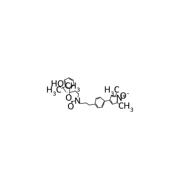 Cc1cc(-c2ccc(CCCN3CC[C@](CC(C)(C)O)(c4ccccc4)OC3=O)cc2)cc(C)[n+]1[O-]